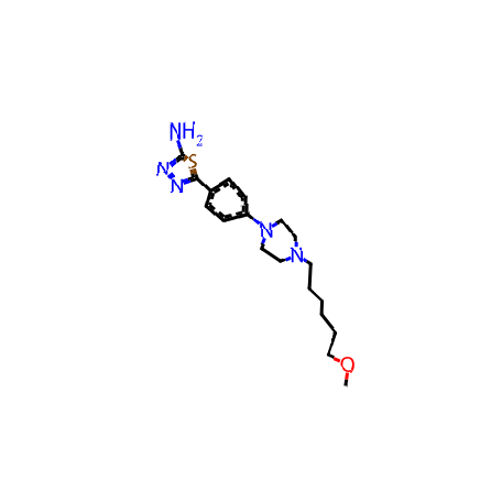 COCCCCCCN1CCN(c2ccc(-c3nnc(N)s3)cc2)CC1